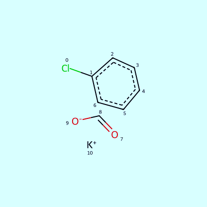 Clc1ccccc1.O=C[O-].[K+]